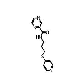 O=C(NCCCSc1ccncc1)c1cnccn1